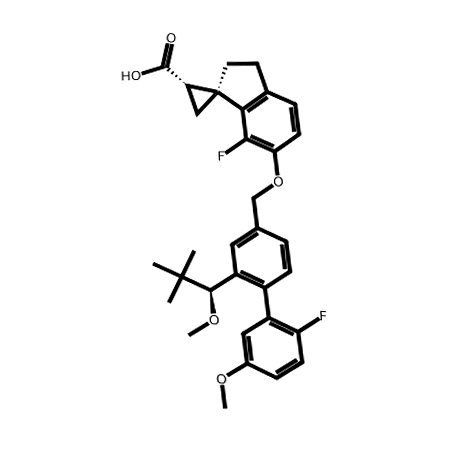 COc1ccc(F)c(-c2ccc(COc3ccc4c(c3F)[C@@]3(CC4)C[C@@H]3C(=O)O)cc2[C@@H](OC)C(C)(C)C)c1